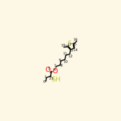 CCC(S)C(=O)OCCCCCCc1cc(C)sc1C